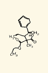 C=C(c1ccccc1)C(CC)C(C)(C(=O)O)C(=O)OCC